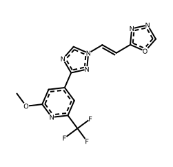 COc1cc(-c2ncn(C=Cc3nnco3)n2)cc(C(F)(F)F)n1